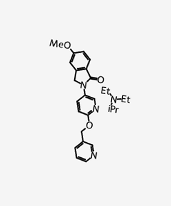 CCN(CC)C(C)C.COc1ccc2c(c1)CN(c1ccc(OCc3cccnc3)nc1)C2=O